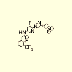 O=C(Cc1cccc(C(F)(F)F)c1F)Nc1cnc(-n2cnc([C@H]3CCS(=O)(=O)C3)c2)c(F)c1